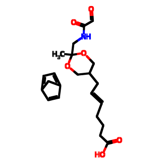 C1=CC2=CC=C1C2.CC1(CNC(=O)C=O)OCC(CC=CCCCC(=O)O)CO1